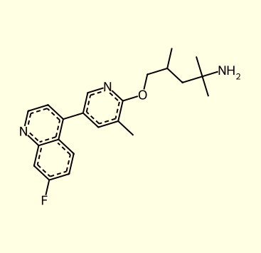 Cc1cc(-c2ccnc3cc(F)ccc23)cnc1OCC(C)CC(C)(C)N